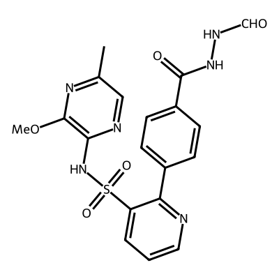 COc1nc(C)cnc1NS(=O)(=O)c1cccnc1-c1ccc(C(=O)NNC=O)cc1